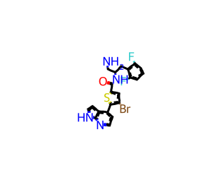 NCC(Cc1c(F)cccc1F)NC(=O)c1cc(Br)c(-c2ccnc3[nH]ccc23)s1